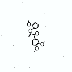 C=C(Oc1ccccc1OC)C(=O)c1ccc(OC)c(OC)c1